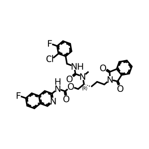 CN(C(=O)NCc1cccc(F)c1Cl)[C@H](CCCN1C(=O)c2ccccc2C1=O)COC(=O)Nc1cc2cc(F)ccc2cn1